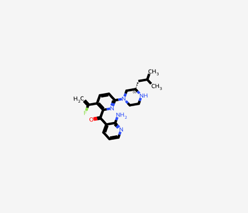 C=C(F)c1ccc(N2CCN[C@@H](CC(C)C)C2)nc1C(=O)c1cccnc1N